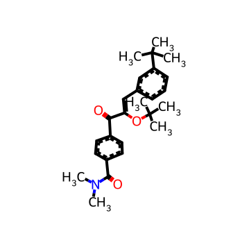 CN(C)C(=O)c1ccc(C(=O)C(=Cc2cccc(C(C)(C)C)c2)OC(C)(C)C)cc1